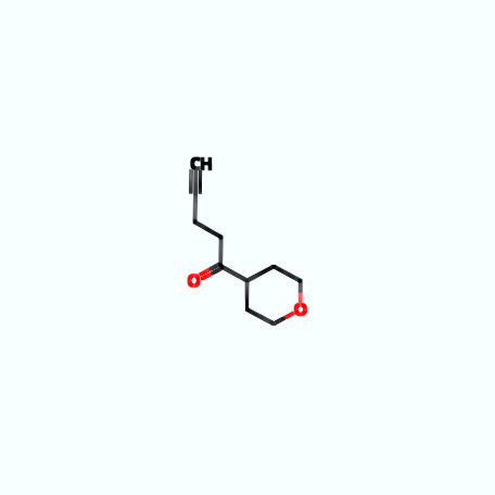 C#CCCC(=O)C1CCOCC1